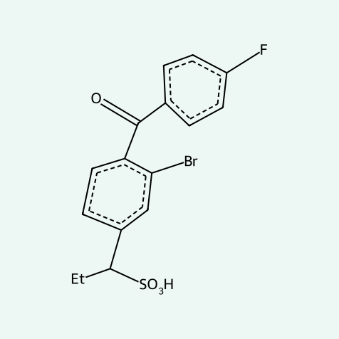 CCC(c1ccc(C(=O)c2ccc(F)cc2)c(Br)c1)S(=O)(=O)O